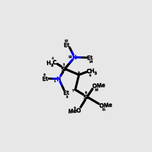 CCN(CC)[Si](C)(C(C)C[Si](OC)(OC)OC)N(CC)CC